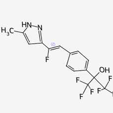 Cc1cc(/C(F)=C/c2ccc(C(O)(C(F)(F)F)C(F)(F)F)cc2)n[nH]1